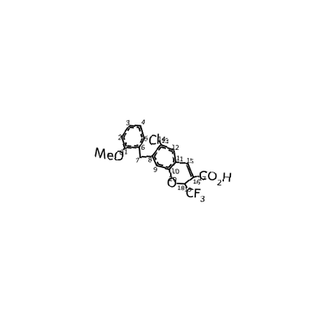 COc1ccccc1Cc1cc2c(cc1Cl)C=C(C(=O)O)C(C(F)(F)F)O2